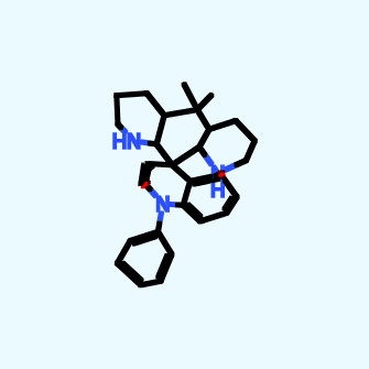 CC1(C)C2CCCNC2C2(c3ccccc3N(c3ccccc3)c3ccccc32)C2NCCCC21